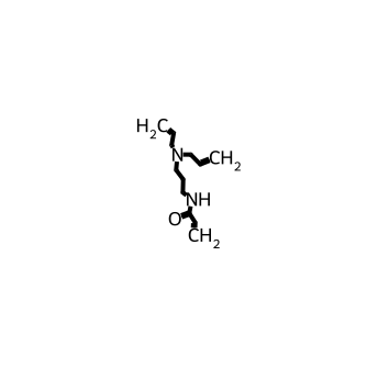 C=CCN(CC=C)CCCNC(=O)C=C